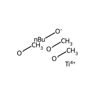 CCCC[O-].C[O-].C[O-].C[O-].[Ti+4]